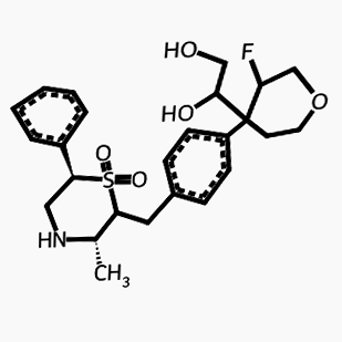 C[C@@H]1NC[C@@H](c2ccccc2)S(=O)(=O)C1Cc1ccc(C2(C(O)CO)CCOCC2F)cc1